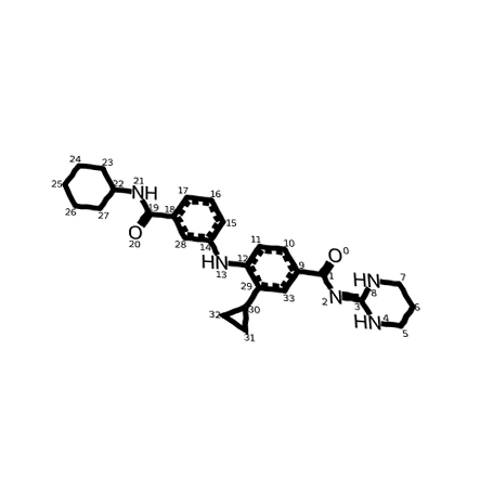 O=C(N=C1NCCCN1)c1ccc(Nc2cccc(C(=O)NC3CCCCC3)c2)c(C2CC2)c1